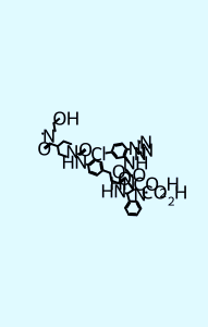 CN(CCO)C(=O)C1CCN(C(=O)Nc2ccc(CCC(=O)NC3c4ccccc4N(C(=O)O)C3(NC(=O)C(=O)Nc3cc(Cl)ccc3-n3cnnn3)C(=O)O)cc2)CC1